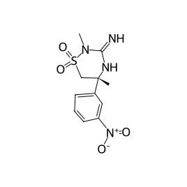 CN1C(=N)N[C@](C)(c2cccc([N+](=O)[O-])c2)CS1(=O)=O